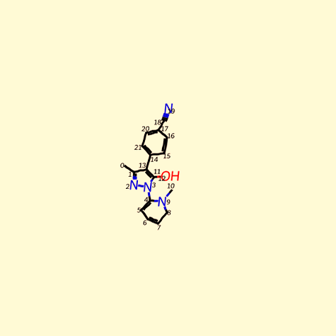 Cc1nn(C2=CC=CCN2C)c(O)c1-c1ccc(C#N)cc1